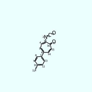 O=C=Nc1ccc(-c2ccc(I)cc2)ccc1=O